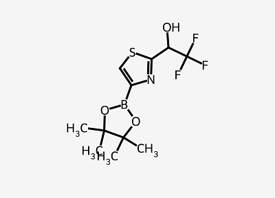 CC1(C)OB(c2csc(C(O)C(F)(F)F)n2)OC1(C)C